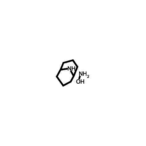 C1CC2CCCC(C1)N2.NO